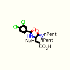 CCCCCN(CCCCC)C(=O)C(CCC(=O)O)NC(=O)c1ccc(Cl)c(Cl)c1.[NaH]